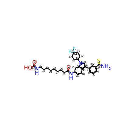 NC(=S)c1cccc(-c2cn(C3CCC(F)(F)CC3)c3cc(NC(=O)CCCCCCCCNC(=O)O)ccc23)c1